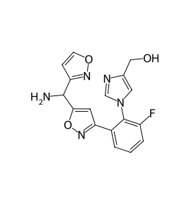 NC(c1ccon1)c1cc(-c2cccc(F)c2-n2cnc(CO)c2)no1